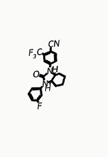 N#Cc1ccc(N2C(=O)N(c3cccc(F)c3)[C@H]3CCCC[C@@H]32)cc1C(F)(F)F